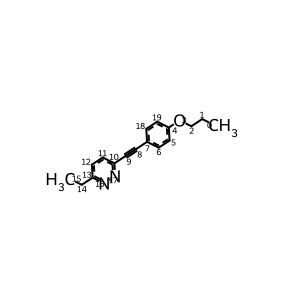 CCCOc1ccc(C#Cc2ccc(CC)nn2)cc1